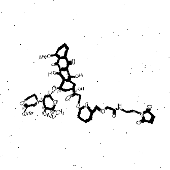 COc1cccc2c1C(=O)c1c(O)c3c(c(O)c1C2=O)C[C@@](O)(C(=O)COC1CCCC(COCC(=O)NCCN2C(=O)C=CC2=O)O1)C[C@@H]3O[C@H]1C[C@H](N2CCO[C@H](OC)C2)[C@H](OC)[C@H](C)O1